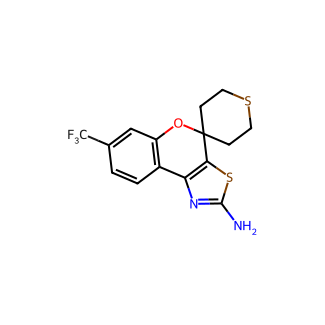 Nc1nc2c(s1)C1(CCSCC1)Oc1cc(C(F)(F)F)ccc1-2